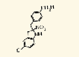 O=C(O)c1ccc(CC2([N+](=O)[O-])Cc3cc(Cl)ccc3N2)cc1